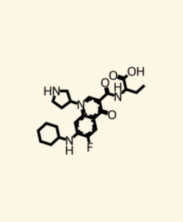 CCC(NC(=O)c1cn(C2CCNC2)c2cc(NC3CCCCC3)c(F)cc2c1=O)C(=O)O